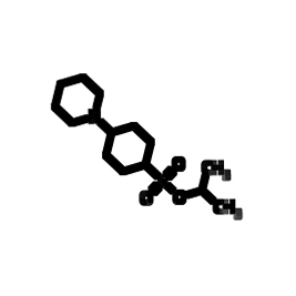 CC(C)OS(=O)(=O)C1CCC(N2CCCCC2)CC1